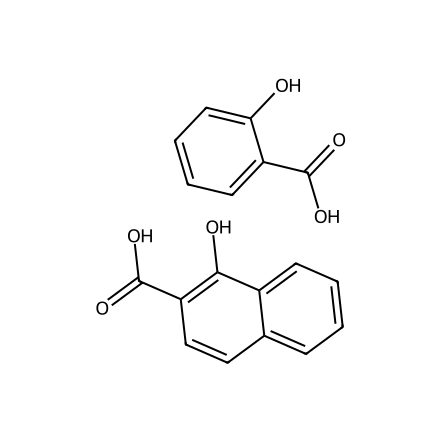 O=C(O)c1ccc2ccccc2c1O.O=C(O)c1ccccc1O